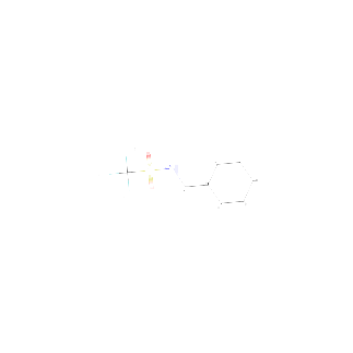 O=S(=O)(NCC1CCCCC1)C(F)(F)F